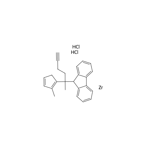 C#CCCC(C)(C1=C(C)C=CC1)C1c2ccccc2-c2ccccc21.Cl.Cl.[Zr]